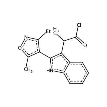 CCc1noc(C)c1-c1[nH]c2ccccc2c1C(C)C(=O)Cl